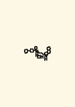 Cl.O=C(NCCCCC1Cc2c(ccc3ccccc23)CN1)c1ccc(-c2ccccc2)cc1